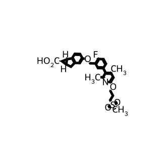 Cc1cc(OCCCS(C)(=O)=O)nc(C)c1-c1ccc(F)c(COc2ccc3c(c2)C[C@H]2[C@H](C(=O)O)[C@@H]32)c1